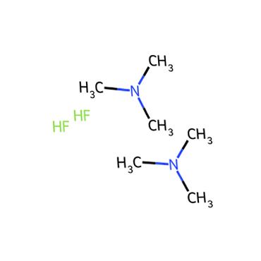 CN(C)C.CN(C)C.F.F